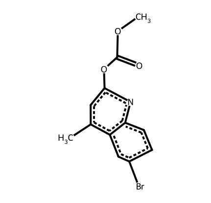 COC(=O)Oc1cc(C)c2cc(Br)ccc2n1